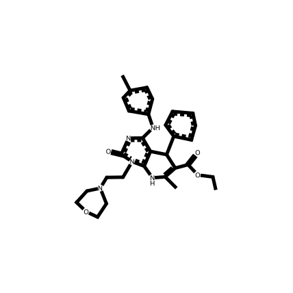 CCOC(=O)C1=C(C)Nc2c(c(Nc3ccc(C)cc3)nc(=O)n2CCN2CCOCC2)C1c1ccccc1